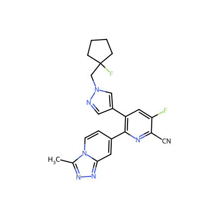 Cc1nnc2cc(-c3nc(C#N)c(F)cc3-c3cnn(CC4(F)CCCC4)c3)ccn12